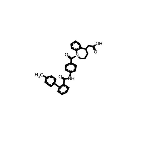 Cc1ccc(-c2ccccc2C(=O)Nc2ccc(C(=O)N3CCCC(CC(=O)O)c4ccccc43)cc2)cc1